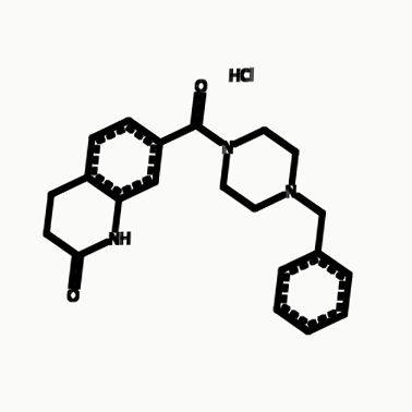 Cl.O=C1CCc2ccc(C(=O)N3CCN(Cc4ccccc4)CC3)cc2N1